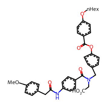 CCCCCCOc1ccc(C(=O)Oc2ccc(CN(CC(=O)O)C(=O)c3ccc(NC(=O)Cc4ccc(OC)cc4)cc3)cc2)cc1